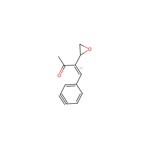 CC(=O)/C(=C\c1cc#ccc1)C1CO1